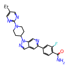 CCc1cnc(N2CCC(n3ncc4cc(-c5ccc(C(N)=O)c(F)c5)ncc43)CC2)nc1